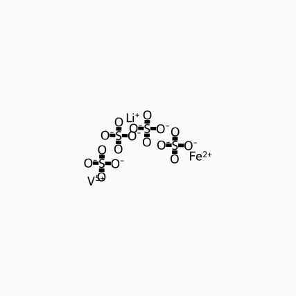 O=S(=O)([O-])[O-].O=S(=O)([O-])[O-].O=S(=O)([O-])[O-].O=S(=O)([O-])[O-].[Fe+2].[Li+].[V+5]